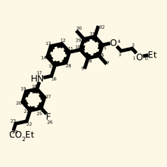 CCOCCOc1c(C)c(C)c(-c2cccc(CNc3ccc(CCC(=O)OCC)c(F)c3)c2)c(C)c1C